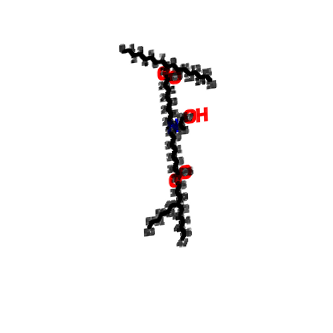 CCCCCCCCC(CCCCCCCC)OC(=O)CCCCCCCN(CCCCCCCC(=O)OCCCC(CCCCCC)CCCCCC)C(C)CO